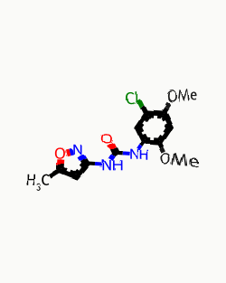 COc1cc(OC)c(NC(=O)Nc2cc(C)on2)cc1Cl